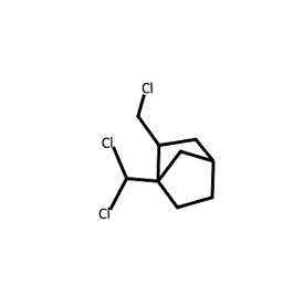 ClCC1CC2CCC1(C(Cl)Cl)C2